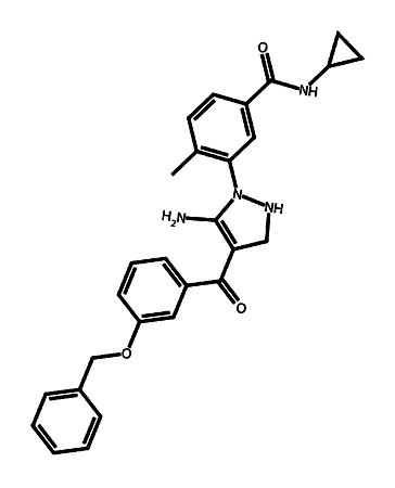 Cc1ccc(C(=O)NC2CC2)cc1N1NCC(C(=O)c2cccc(OCc3ccccc3)c2)=C1N